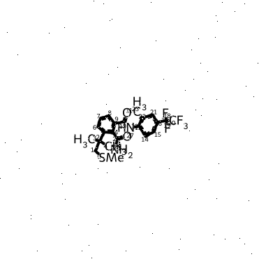 CSCC(C)(C)c1cccc(C(=O)Nc2ccc(C(F)(F)C(F)(F)F)cc2C)c1C(N)=O